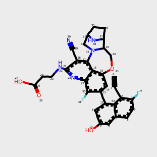 C#Cc1c(F)ccc2cc(O)cc(-c3cc4c5c(c(C#N)c(NCCC(=O)O)nc5c3F)N3CC5CCC(N5)C3CO4)c12